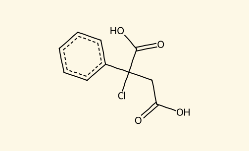 O=C(O)CC(Cl)(C(=O)O)c1ccccc1